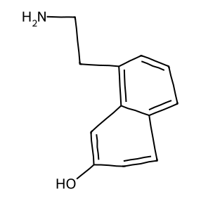 NCCc1cccc2ccc(O)cc12